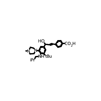 CC(C)CNc1c(N2CCN(C)CC2)cc(C(O)C#Cc2ccc(C(=O)O)cc2)cc1C(C)(C)C